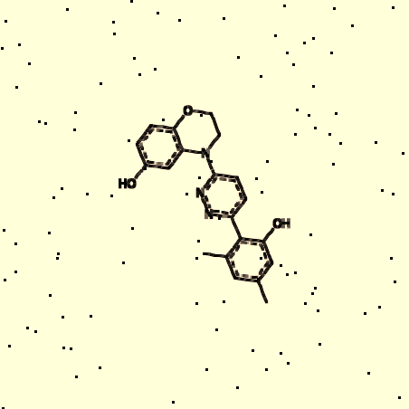 Cc1cc(C)c(-c2ccc(N3CCOc4ccc(O)cc43)nn2)c(O)c1